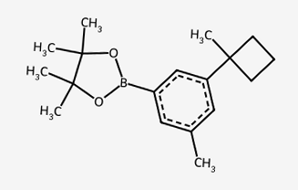 Cc1cc(B2OC(C)(C)C(C)(C)O2)cc(C2(C)CCC2)c1